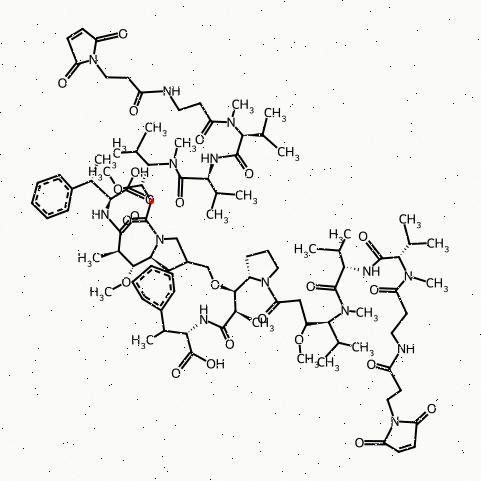 COC(CC(=O)N1CC(CO[C@H]([C@@H](C)C(=O)N[C@H](C(=O)O)C(C)c2ccccc2)[C@@H]2CCCN2C(=O)CC(OC)[C@H](C(C)C)N(C)C(=O)[C@@H](NC(=O)[C@H](C(C)C)N(C)C(=O)CCNC(=O)CCN2C(=O)C=CC2=O)C(C)C)C[C@H]1[C@H](OC)[C@@H](C)C(=O)N[C@H](C(=O)O)[C@@H](C)c1ccccc1)[C@H](C(C)C)N(C)C(=O)[C@@H](NC(=O)[C@H](C(C)C)N(C)C(=O)CCNC(=O)CCN1C(=O)C=CC1=O)C(C)C